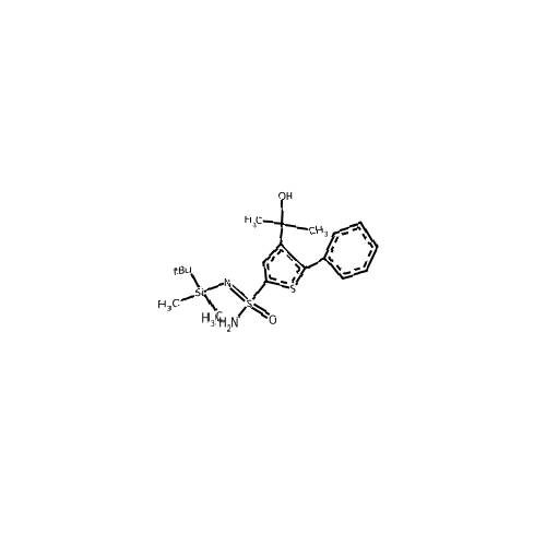 CC(C)(O)c1cc(S(N)(=O)=N[Si](C)(C)C(C)(C)C)sc1-c1ccccc1